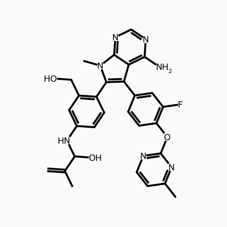 C=C(C)C(O)Nc1ccc(-c2c(-c3ccc(Oc4nccc(C)n4)c(F)c3)c3c(N)ncnc3n2C)c(CO)c1